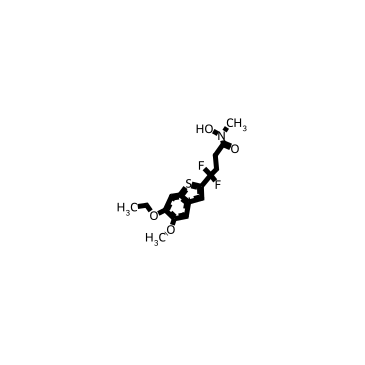 CCOc1cc2sc(C(F)(F)CCC(=O)N(C)O)cc2cc1OC